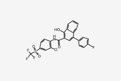 O=C(Nc1ccc(S(=O)(=O)C(F)(F)F)cc1Cl)c1cc(-c2ccc(F)cc2)c2ccccc2c1O